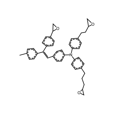 Cc1ccc(C(=Cc2ccc(N(c3ccc(CCCC4CO4)cc3)c3ccc(CCC4CO4)cc3)cc2)c2ccc(C3CO3)cc2)cc1